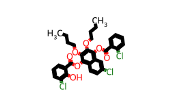 CCCCOc1c(OCCCC)c(OC(=O)c2cccc(Cl)c2O)c2ccc(Cl)cc2c1OC(=O)c1ccccc1Cl